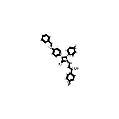 O=C1[C@H](c2ccc(OCc3ccccc3)cc2)[C@H](c2ccc(F)cc2)N1CC[C@H](O)c1ccc(F)cc1